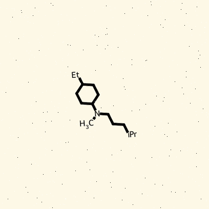 CCC1CCC(N(C)CCCC(C)C)CC1